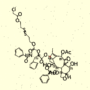 CC(=O)O[C@H]1C(=O)[C@@]2(C)C([C@H](OC(=O)c3ccccc3)[C@]3(O)C[C@H](OC(=O)[C@H](OC(=O)OCCSSCCOC(=O)CCl)[C@@H](NC(=O)c4ccccc4)c4ccccc4)C(C)=C1C3(C)C)[C@]1(OC(C)=O)CO[C@@H]1C[C@@H]2O